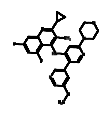 COc1cncc(-c2cnc(N3CCOCC3)cc2Nc2c(C)c(C3CC3)nc3cc(F)cc(F)c23)c1